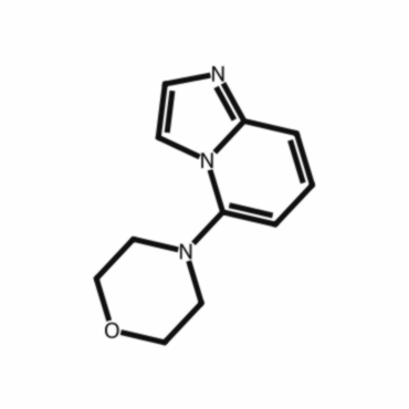 c1cc(N2CCOCC2)n2ccnc2c1